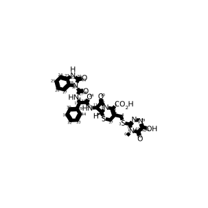 Cn1c(SCC2=C(C(=O)O)N3C(=O)C(NC(=O)C(NC(=O)n4c(=O)[nH]c5ccccc54)c4ccccc4)[C@@H]3SC2)nnc(O)c1=O